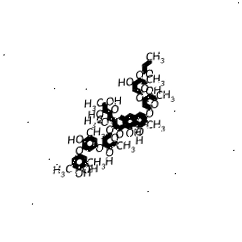 CCCC(=O)O[C@@H]1C(C)O[C@@H](O[C@@H]2C[C@H](Oc3cc4cc5c(c(O)c4c(O)c3C)C(=O)[C@@H](O[C@H]3C[C@@H](O[C@@H]4CC(C)[C@H](O)[C@H](O[C@@H]6CC(C)[C@@H](O)[C@@](C)(O)C6)C4)[C@H](O)C(C)O3)[C@H]([C@H](OC)C(=O)[C@@H](O)[C@@H](C)O)C5)OC(C)[C@H]2O)C[C@H]1O